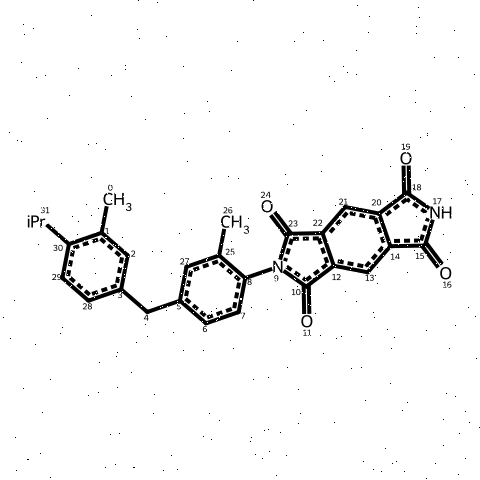 Cc1cc(Cc2ccc(-n3c(=O)c4cc5c(=O)[nH]c(=O)c5cc4c3=O)c(C)c2)ccc1C(C)C